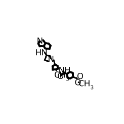 COC(=O)c1ccc(C(=O)Nc2cc(CN3CCC(Nc4cccc5cnccc45)C3)ccc2C)cc1